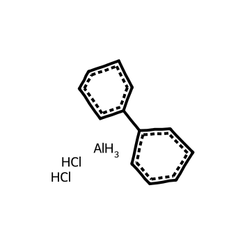 Cl.Cl.[AlH3].c1ccc(-c2ccccc2)cc1